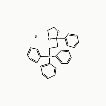 [Br-].c1ccc(C2(CC[P+](c3ccccc3)(c3ccccc3)c3ccccc3)OCCO2)cc1